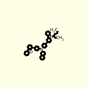 C=C/C(=C\C=C/C)n1c2ccccc2c2cc(-c3ccc(N(c4ccc(-c5cccc6c5oc5ccccc56)cc4)c4ccc5ccccc5c4)cc3)ccc21